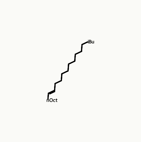 CCCCCCCC/C=C/CCCCCCCCCC(C)CC